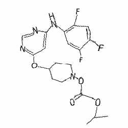 CC(C)OC(=O)ON1CCC(Oc2cc(Nc3cc(F)c(F)cc3F)ncn2)CC1